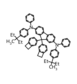 CCC(C)(CC)c1ccc(N(c2ccccc2)c2ccc3c(c2)C(c2ccc4c(c2)CC4)(c2ccc4c(c2)CC4)c2cc(N(c4ccccc4)c4ccc(C(C)(CC)CC)cc4)ccc2-3)cc1